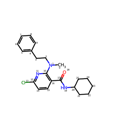 CN(CCc1ccccc1)c1nc(Cl)ccc1C(=O)NC1CCCCC1